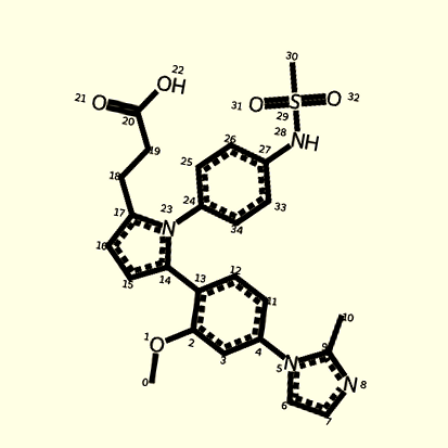 COc1cc(-n2ccnc2C)ccc1-c1ccc(CCC(=O)O)n1-c1ccc(NS(C)(=O)=O)cc1